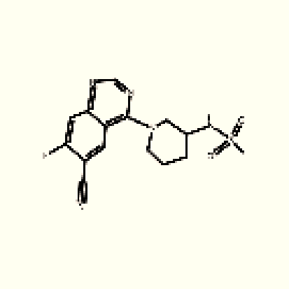 CS(=O)(=O)NC1CCCN(c2ncnc3cc(F)c(C#N)cc23)C1